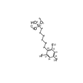 CO[Si](O)(CCCCCCc1c(F)cc(F)cc1F)OC